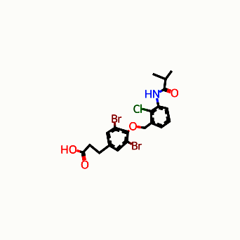 CC(C)C(=O)Nc1cccc(COc2c(Br)cc(CCC(=O)O)cc2Br)c1Cl